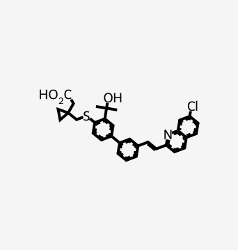 CC(C)(O)c1cc(-c2cccc(C=Cc3ccc4ccc(Cl)cc4n3)c2)ccc1SCC1(CC(=O)O)CC1